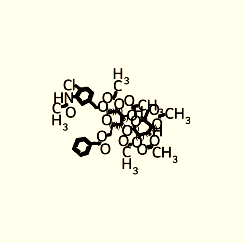 CC(=O)Nc1cc(CO[C@@H]2O[C@H](COC(=O)c3ccccc3)[C@@H](O[C@H]3O[C@@H]4COC(C)O[C@H]4[C@H](OC(C)=O)[C@H]3OC(C)=O)[C@H](OC(C)=O)[C@H]2OC(C)=O)ccc1Cl